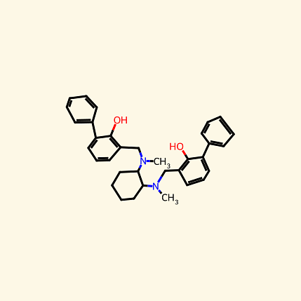 CN(Cc1cccc(-c2ccccc2)c1O)C1CCCCC1N(C)Cc1cccc(-c2ccccc2)c1O